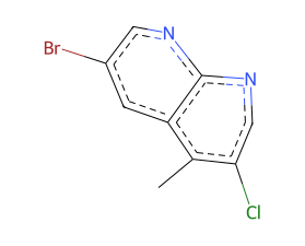 Cc1c(Cl)cnc2ncc(Br)cc12